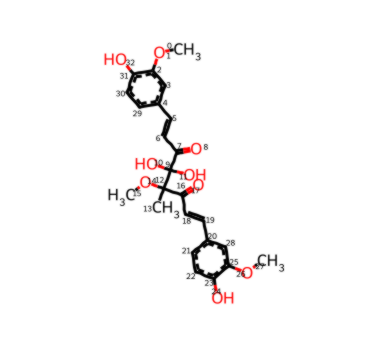 COc1cc(C=CC(=O)C(O)(O)C(C)(OC)C(=O)C=Cc2ccc(O)c(OC)c2)ccc1O